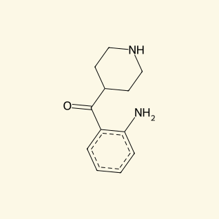 Nc1ccccc1C(=O)C1CCNCC1